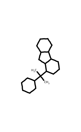 CC(C)(C1CCCCC1)C1CCCC2C3CCCCC3CC21